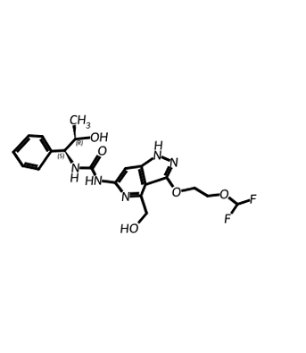 C[C@@H](O)[C@@H](NC(=O)Nc1cc2[nH]nc(OCCOC(F)F)c2c(CO)n1)c1ccccc1